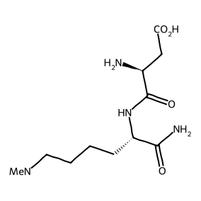 CNCCCC[C@H](NC(=O)[C@@H](N)CC(=O)O)C(N)=O